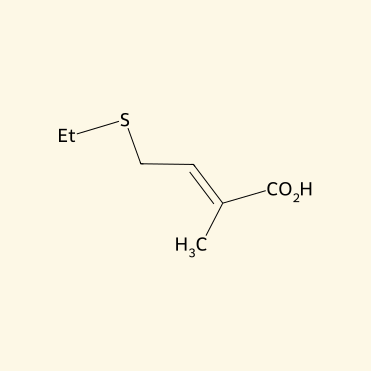 CCSC/C=C(\C)C(=O)O